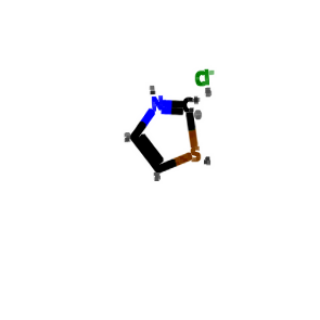 [C+]1=NC=CS1.[Cl-]